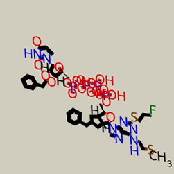 CSCCNc1nc(SCCCF)nc2c1ncn2[C@@H]1O[C@H](COP(=O)(O)OP(=O)(O)OP(=O)(O)OP(=O)(O)OC[C@H]2O[C@@H](n3ccc(=O)[nH]c3=O)[C@@H]3OC(Cc4ccccc4)O[C@@H]32)[C@H]2CC(Cc3ccccc3)C[C@H]21